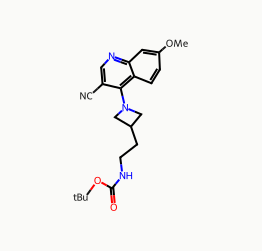 COc1ccc2c(N3CC(CCNC(=O)OC(C)(C)C)C3)c(C#N)cnc2c1